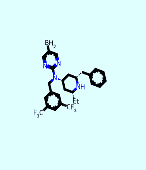 Bc1cnc(N(Cc2cc(C(F)(F)F)cc(C(F)(F)F)c2)[C@H]2C[C@@H](CC)N[C@@H](Cc3ccccc3)C2)nc1